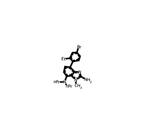 CCCN(CCC)c1ccc(-c2ccc(Br)cc2CC)c2nc(N)n(C)c12